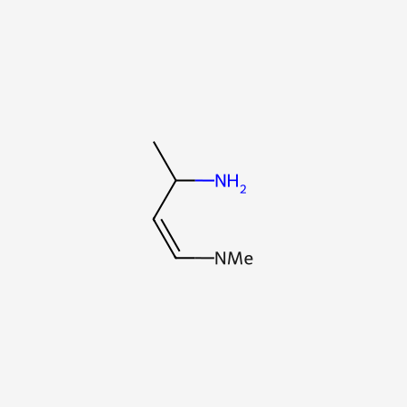 CN/C=C\C(C)N